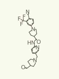 N#Cc1ccc(N2CCC(C(=O)Nc3ccc(CN4CCC(C=O)CC4)cn3)CC2)cc1C(F)(F)F